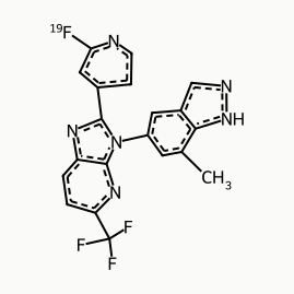 Cc1cc(-n2c(-c3ccnc([19F])c3)nc3ccc(C(F)(F)F)nc32)cc2cn[nH]c12